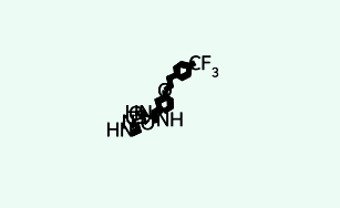 O=S(=O)(Nc1c[nH]c2ccc(OCCc3ccc(C(F)(F)F)cc3)cc12)c1cc[nH]n1